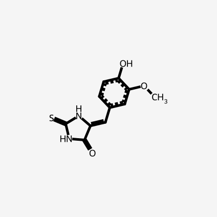 COc1cc(/C=C2\NC(=S)NC2=O)ccc1O